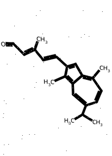 CC(/C=C/c1cc2c(C)ccc(C(C)C)cc-2c1C)=C\C=O